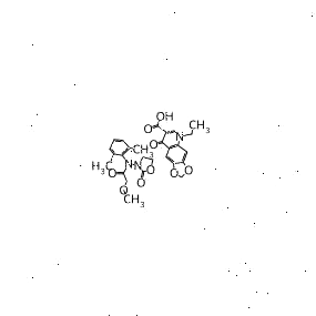 CCn1cc(C(=O)O)c(=O)c2cc3c(cc21)OCO3.COCC(=O)N(c1c(C)cccc1C)N1CCOC1=O